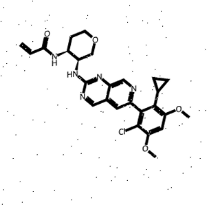 C=CC(=O)N[C@H]1CCOC[C@H]1Nc1ncc2cc(-c3c(Cl)c(OC)cc(OC)c3C3CC3)ncc2n1